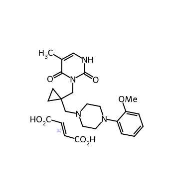 COc1ccccc1N1CCN(CC2(Cn3c(=O)[nH]cc(C)c3=O)CC2)CC1.O=C(O)/C=C/C(=O)O